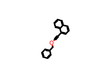 C(#Cc1cccc2ccccc12)OCc1ccccc1